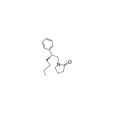 CCCC[C@H](CN1CCCC1=O)c1ccccc1